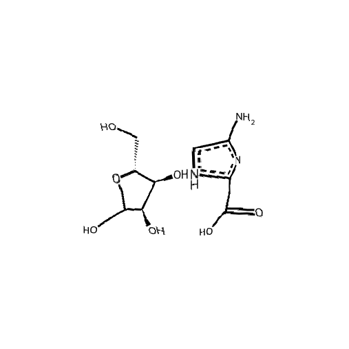 Nc1c[nH]c(C(=O)O)n1.OC[C@H]1OC(O)[C@H](O)[C@@H]1O